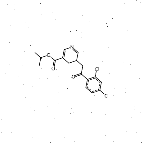 CC(C)OC(=O)C1=CN=CC(CC(=O)c2ccc(Cl)cc2Cl)C1